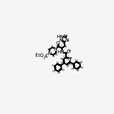 CCOC(=O)N1CCN(C(=O)C(Cc2nn[nH]n2)NC(=O)c2cc(-c3ccccc3)cc(-c3ccccc3)n2)CC1